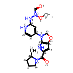 CON(C=O)NC1C=C(N2COc3cc(C(=O)N4CCC[C@H]4C)[nH]c32)C=CN1